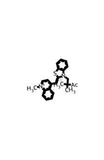 CC(=O)C(C)(C)CN1/C(=C/c2cc[n+](C)c3ccccc23)Sc2ccccc21